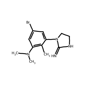 Cc1c(N(C)C)cc(Br)cc1N1CCNC1=N